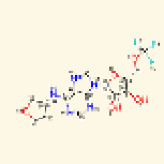 O[C@@H]1[C@H](O)[C@@H](COC(F)(F)F)O[C@H]1n1cnc2c(N[C@@H]3CCOC3)ncnc21